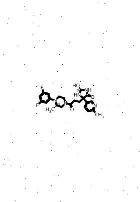 Cc1ccc(C2(CCC(=O)N3CCN(c4cc(F)cc(F)c4)[C@@H](C)C3)N[C@@H](O)NC2=O)cn1